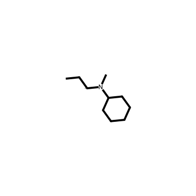 CC[CH]N(C)C1CCCCC1